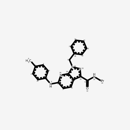 Cc1ccc(Nc2ccc3c(C(=O)NC(C)C)nn(Cc4ccccc4)c3n2)cc1